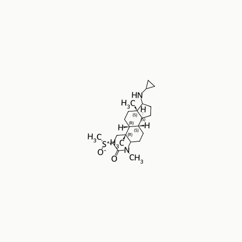 CN1C(=O)C([S+](C)[O-])C[C@@]2(C)C1CC[C@@H]1[C@H]2CC[C@]2(C)C(NC3CC3)CC[C@@H]12